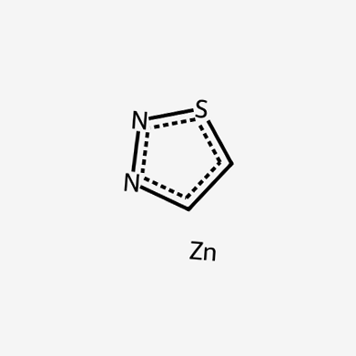 [Zn].c1csnn1